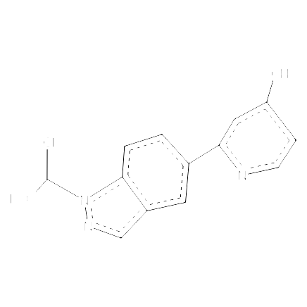 Cc1ccnc(-c2ccc3c(cnn3C(C)C)c2)c1